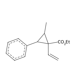 C=CC1(C(=O)OCC)C(C)C1c1ccccc1